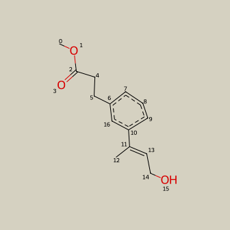 COC(=O)CCc1cccc(C(C)=CCO)c1